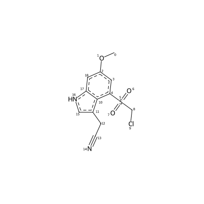 COc1cc(S(=O)(=O)CCl)c2c(CC#N)c[nH]c2c1